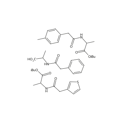 CC(C)COC(=O)C(C)NC(=O)Cc1ccsc1.CC(NC(=O)Cc1ccccc1)C(=O)O.Cc1ccc(CC(=O)NC(C)C(=O)OCC(C)C)cc1